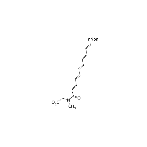 CCCCCCCCCC=CC=CC=CC=CC=CC(=O)N(C)CC(=O)O